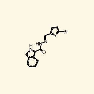 O=C(N/N=C/c1ccc(Br)s1)c1[nH]cc2ccccc12